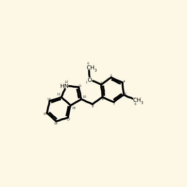 COc1ccc(C)cc1Cc1c[nH]c2ccccc12